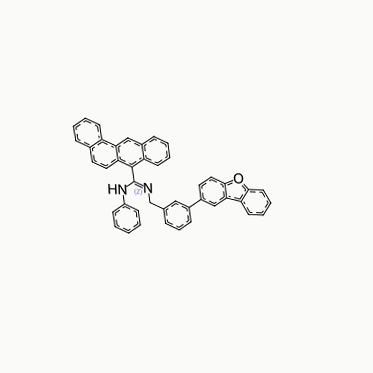 c1ccc(N/C(=N\Cc2cccc(-c3ccc4oc5ccccc5c4c3)c2)c2c3ccccc3cc3c2ccc2ccccc23)cc1